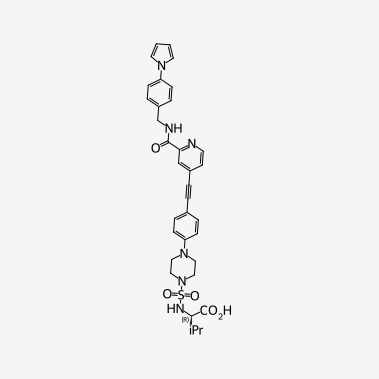 CC(C)[C@@H](NS(=O)(=O)N1CCN(c2ccc(C#Cc3ccnc(C(=O)NCc4ccc(-n5cccc5)cc4)c3)cc2)CC1)C(=O)O